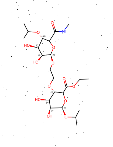 CCOC(=O)C1O[C@@H](OC(C)C)[C@@H](O)[C@@H](O)[C@@H]1OCCO[C@@H]1OC(C(=O)NC)[C@@H](OC(C)C)[C@H](O)[C@@H]1O